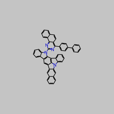 c1ccc(-c2ccc(-c3nc(-n4c5ccccc5c5cc6c7cc8ccccc8cc7n7c8ccccc8c(c54)c67)nc4c3ccc3ccccc34)cc2)cc1